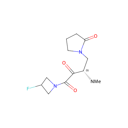 CN[C@@H](CN1CCCC1=O)C(=O)C(=O)N1CC(F)C1